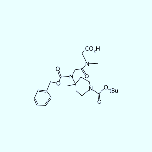 CN(CC(=O)O)C(=O)CN(C(=O)OCc1ccccc1)C1(C)CCN(C(=O)OC(C)(C)C)CC1